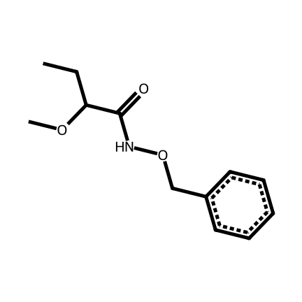 CCC(OC)C(=O)NOCc1ccccc1